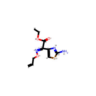 C=CCO/N=C(/C(=O)OCC)c1csc(N)n1